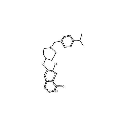 CC(C)c1ccc(CN2CCC(Oc3cc4cc[nH]c(=O)c4cc3Cl)CC2)cc1